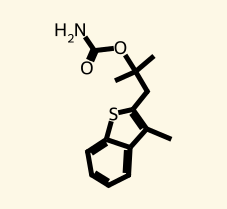 Cc1c(CC(C)(C)OC(N)=O)sc2ccccc12